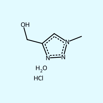 Cl.Cn1cc(CO)nn1.O